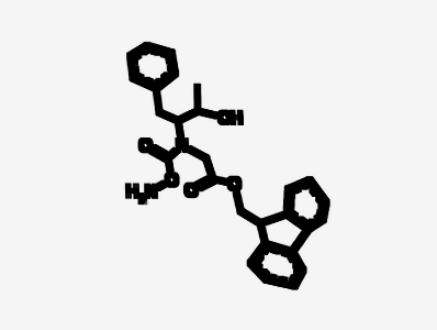 CC(O)C(Cc1ccccc1)N(CC(=O)OCC1c2ccccc2-c2ccccc21)C(=O)ON